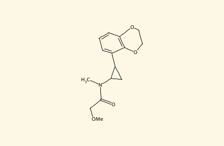 COCC(=O)N(C)C1CC1c1cccc2c1OCCO2